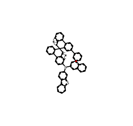 c1ccc(-c2ccc3c(c2)C2(c4ccccc4-c4ccc(N(c5ccc6ccccc6c5)c5ccc6c(c5)sc5ccccc56)c5cccc2c45)c2cccc4cccc-3c24)cc1